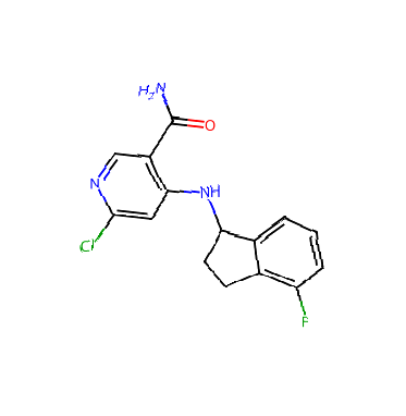 NC(=O)c1cnc(Cl)cc1NC1CCc2c(F)cccc21